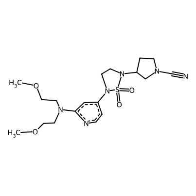 COCCN(CCOC)c1cc(N2CCN(C3CCN(C#N)C3)S2(=O)=O)ccn1